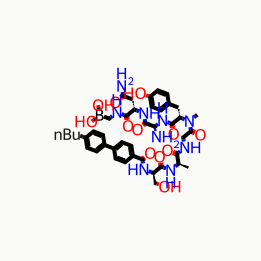 CCCCc1ccc(-c2ccc(C(=O)N[C@H](CO)C(=O)N[C@H](C)C(=O)NCC(=O)N(C)[C@@H](Cc3ccc(O)cc3)C(=O)N[C@@H](N)C(=O)N[C@@H](CC(N)=O)C(=O)NCB(O)O)cc2)cc1